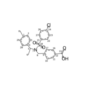 Cc1ccc(C(C)N(Cc2ccc(C(=O)O)cc2)S(=O)(=O)c2ccc(Cl)cc2)cc1